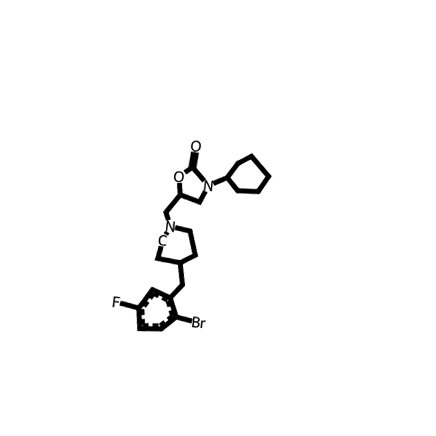 O=C1OC(CN2CCC(Cc3cc(F)ccc3Br)CC2)CN1C1CCCCC1